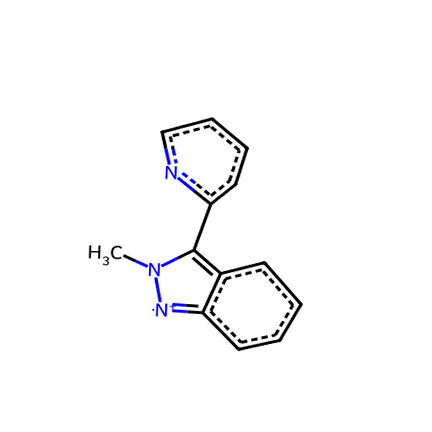 CN1[N+]=c2ccccc2=C1c1ccccn1